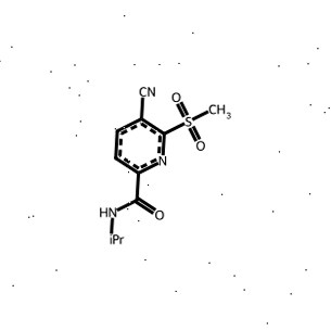 CC(C)NC(=O)c1ccc(C#N)c(S(C)(=O)=O)n1